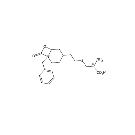 N[C@@H](CSCCC1CC[N+]2(Cc3ccccc3)C(=O)OC2C1)C(=O)O